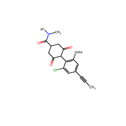 CC#Cc1cc(Cl)c(C2C(=O)CC(C(=O)N(C)C(C)C)CC2=O)c(OC)c1